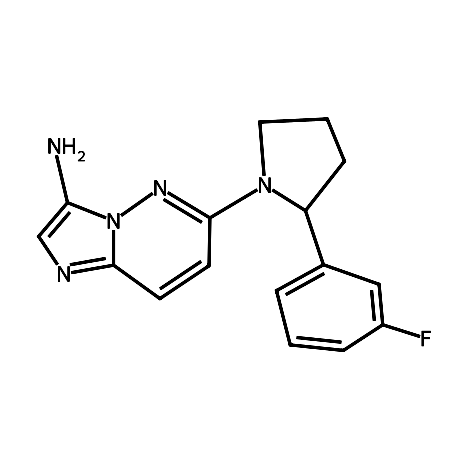 Nc1cnc2ccc(N3CCCC3c3cccc(F)c3)nn12